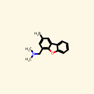 Bc1cc(CN(C)C)c2oc3ccccc3c2c1